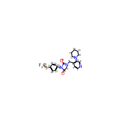 O=C1CN(Cc2ccncc2N2CCCCC2)C(=O)N1c1ccc(SC(F)(F)F)cc1